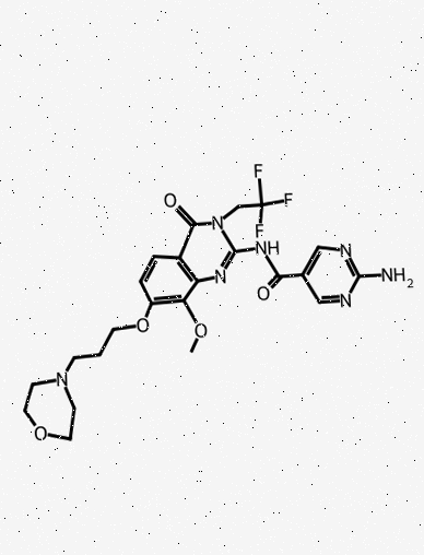 COc1c(OCCCN2CCOCC2)ccc2c(=O)n(CC(F)(F)F)c(NC(=O)c3cnc(N)nc3)nc12